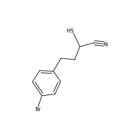 N#CC(S)CCc1ccc(Br)cc1